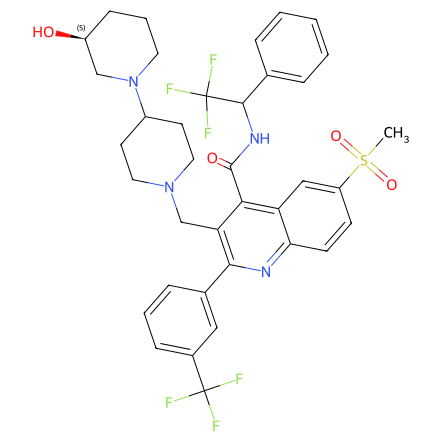 CS(=O)(=O)c1ccc2nc(-c3cccc(C(F)(F)F)c3)c(CN3CCC(N4CCC[C@H](O)C4)CC3)c(C(=O)NC(c3ccccc3)C(F)(F)F)c2c1